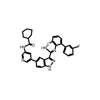 O=C(Nc1cncc(-c2ccc3[nH]nc(C4=Nc5c(cccc5-c5cccc(F)c5)CN4)c3c2)c1)C1CCCCC1